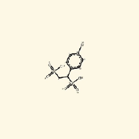 O=S(=O)(Cl)CC(c1ccc(Br)cc1)S(=O)(=O)Cl